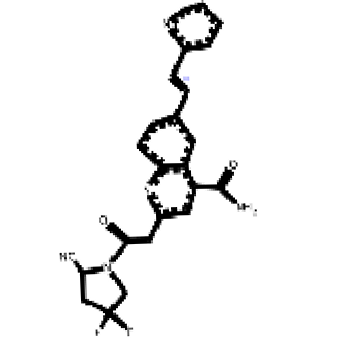 N#CC1CC(F)(F)CN1C(=O)Cc1cc(C(N)=O)c2cc(/C=C/c3ccccn3)ccc2n1